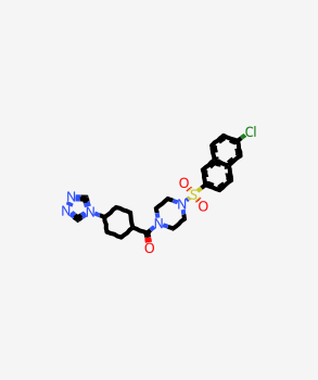 O=C(C1CCC(n2cnnc2)CC1)N1CCN(S(=O)(=O)c2ccc3cc(Cl)ccc3c2)CC1